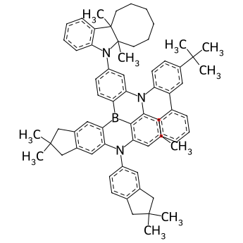 Cc1cc2c3c(c1)N(c1ccc(C(C)(C)C)cc1-c1ccccc1)c1cc(N4c5ccccc5C5(C)CCCCCCC45C)ccc1B3c1cc3c(cc1N2c1ccc2c(c1)CC(C)(C)C2)CC(C)(C)C3